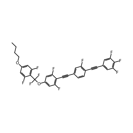 CCCCOc1cc(F)c(C(F)(F)Oc2cc(F)c(C#Cc3ccc(C#Cc4cc(F)c(F)c(F)c4)c(F)c3)c(F)c2)c(F)c1